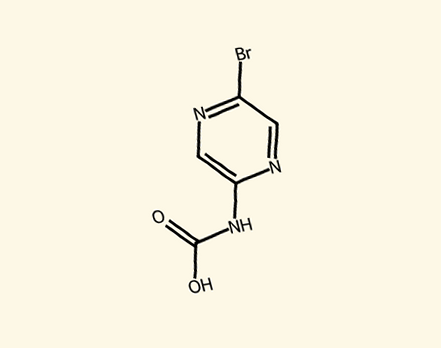 O=C(O)Nc1cnc(Br)cn1